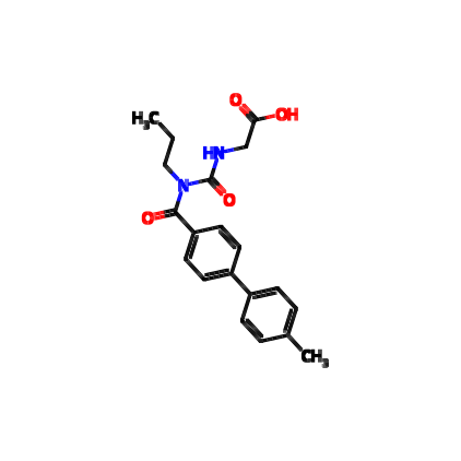 CCCN(C(=O)NCC(=O)O)C(=O)c1ccc(-c2ccc(C)cc2)cc1